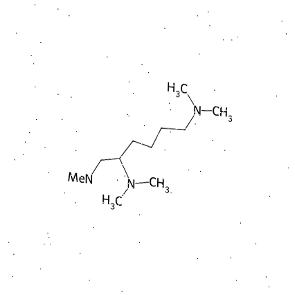 CNCC(CCCCN(C)C)N(C)C